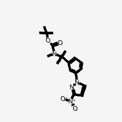 CN(C(=O)OC(C)(C)C)C(C)(C)c1cccc(-n2ccc([N+](=O)[O-])n2)c1